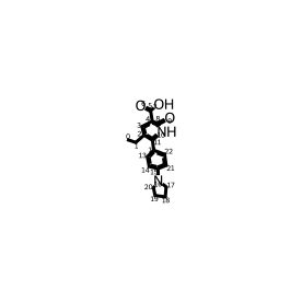 CCc1cc(C(=O)O)c(=O)[nH]c1-c1ccc(N2CCCC2)cc1